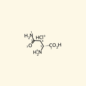 Cl.NC(=O)C[C@@H](N)C(=O)O